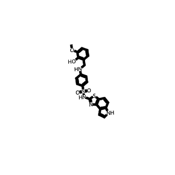 COc1cccc(CNc2ccc(S(=O)(=O)Nc3nc4c(ccc5[nH]ccc54)s3)cc2)c1O